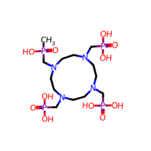 CP(=O)(O)CN1CCN(CP(=O)(O)O)CCN(CP(=O)(O)O)CCN(CP(=O)(O)O)CC1